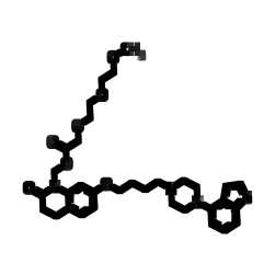 COCCOCCOCC(=O)OCN1C(=O)CCc2ccc(OCCCCN3CCN(c4cccc5sccc45)CC3)cc21